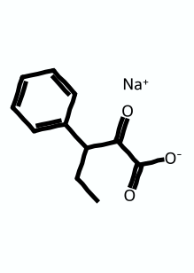 CCC(C(=O)C(=O)[O-])c1ccccc1.[Na+]